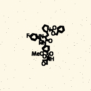 COc1cc(NC(=O)C(CC2CCCCN2C(=O)OCc2ccccc2)NC(=O)c2ccc(F)cc2)ccc1S(=O)(=O)NC1COC1